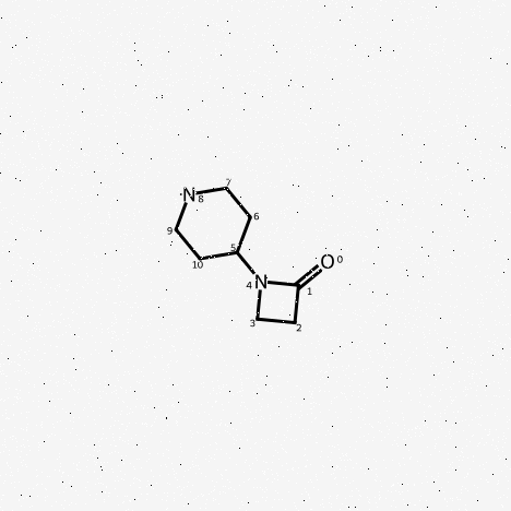 O=C1CCN1C1CC[N]CC1